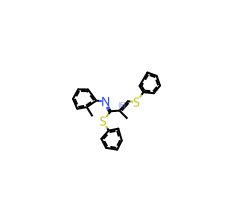 C/C(=C\Sc1ccccc1)C(=Nc1ccccc1C)Sc1ccccc1